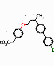 CCOC(=O)Cc1ccc(OCC=C(C)c2ccc(-c3ccc(Br)cc3)cc2)cc1